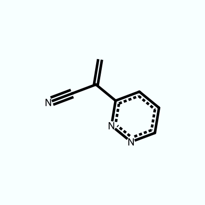 C=C(C#N)c1cccnn1